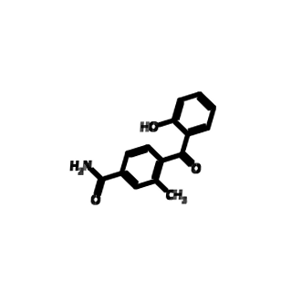 Cc1cc(C(N)=O)ccc1C(=O)c1ccccc1O